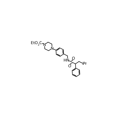 CCOC(=O)N1CCN(c2ccc(CNS(=O)(=O)C(CC(C)C)c3ccccc3)cc2)CC1